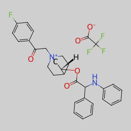 O=C(C[N+]12CCC(CC1)[C@@H](OC(=O)C(Nc1ccccc1)c1ccccc1)C2)c1ccc(F)cc1.O=C([O-])C(F)(F)F